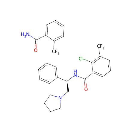 NC(=O)c1ccccc1C(F)(F)F.O=C(N[C@@H](CN1CCCC1)c1ccccc1)c1cccc(C(F)(F)F)c1Cl